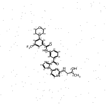 C[C@H](O)CNc1nccc(-n2ccnc2C(=O)c2cccc(NC(=O)c3cc(N4CCOCC4)cc(C(F)(F)F)c3)c2)n1